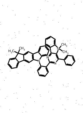 CC1(C)c2ccccc2-c2cc3c(cc21)c1ccccc1n3-c1ccccc1-c1nc(-c2ccccc2)c2c(n1)-c1ccccc1[Si]2(C)C